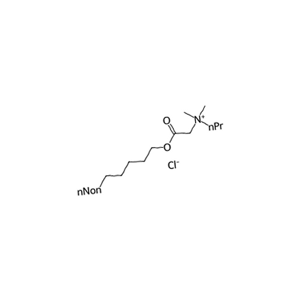 CCCCCCCCCCCCCCOC(=O)C[N+](C)(C)CCC.[Cl-]